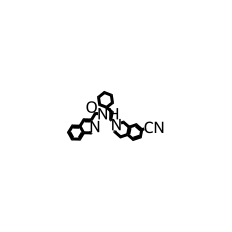 N#Cc1ccc2c(c1)CN(CCC1(NC(=O)c3cc4ccccc4cn3)CCCCC1)CC2